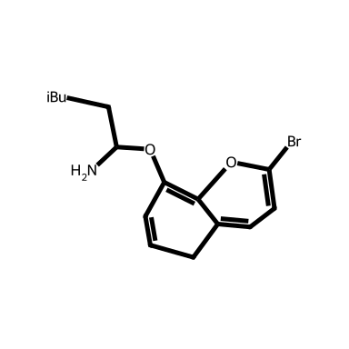 CCC(C)CC(N)OC1=C2OC(Br)=CC=C2CC=C1